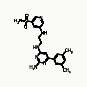 Cc1cc(C)cc(-c2cc(NCCNc3cncc(S(N)(=O)=O)c3)nc(N)n2)c1